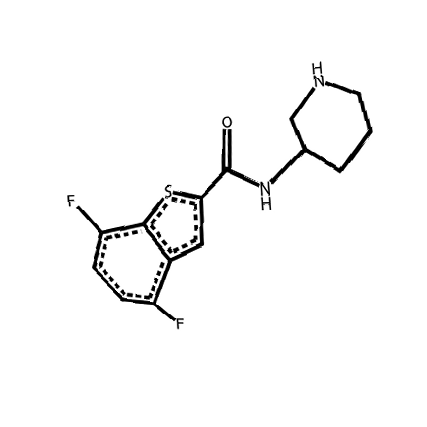 O=C(NC1CCCNC1)c1cc2c(F)ccc(F)c2s1